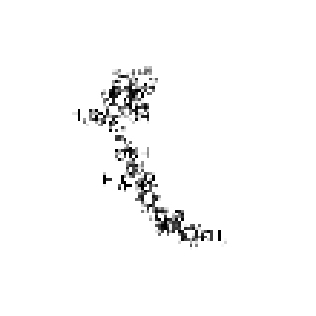 COc1cc2c(cc1OCCCC(=O)Nc1cc(C(=O)Nc3ccc(-c4cc(C(=O)Nc5ccc(C)cc5)n(C)c4)cc3)n(C)c1)N(C(=O)O)C(OC1CCCCO1)[C@@H]1CCCCN1C2=O